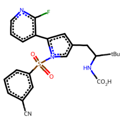 CC(C)(C)C(Cc1cc(-c2cccnc2F)n(S(=O)(=O)c2cccc(C#N)c2)c1)NC(=O)O